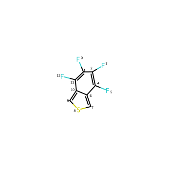 Fc1c(F)c(F)c2cs[c]c2c1F